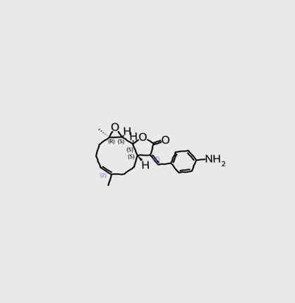 C/C1=C/CC[C@@]2(C)O[C@H]2[C@H]2OC(=O)/C(=C\c3ccc(N)cc3)[C@@H]2CC1